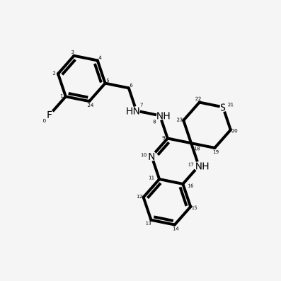 Fc1cccc(CNNC2=Nc3ccccc3NC23CCSCC3)c1